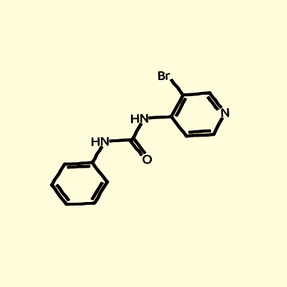 O=C(Nc1ccccc1)Nc1ccncc1Br